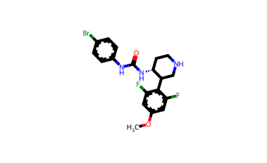 COc1cc(F)c(C2CNCC[C@H]2NC(=O)Nc2ccc(Br)cc2)c(F)c1